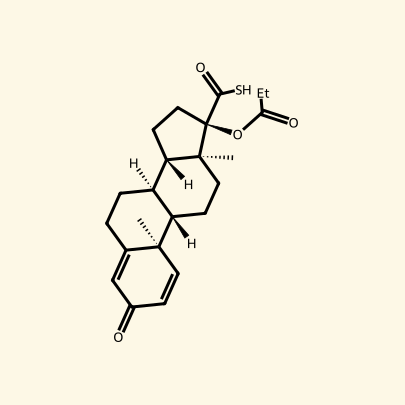 CCC(=O)O[C@]1(C(=O)S)CC[C@H]2[C@@H]3CCC4=CC(=O)C=C[C@]4(C)[C@H]3CC[C@@]21C